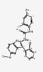 COc1ccc2oc(NC(=O)Nc3ccc(F)cc3F)c(-c3ccccc3Cl)c2c1